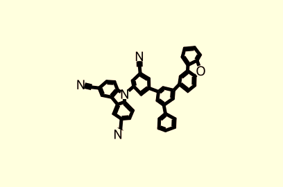 N#Cc1cc(-c2cc(-c3ccccc3)cc(-c3ccc4oc5ccccc5c4c3)c2)cc(-n2c3ccc(C#N)cc3c3cc(C#N)ccc32)c1